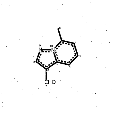 Cc1cccc2c(C=O)cnn12